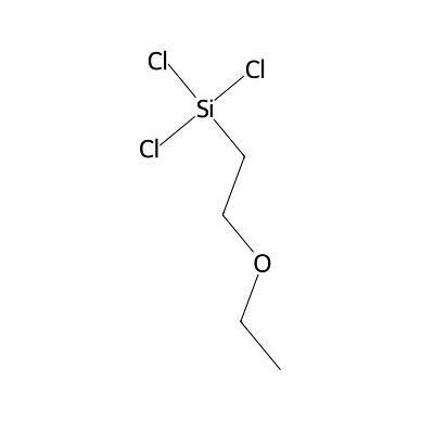 CCOCC[Si](Cl)(Cl)Cl